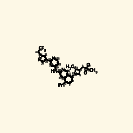 CC(C)c1ccc(N2C[C@H](CS(C)(=O)=O)[C@H]2C)c2cnc(Nc3ccnc(-c4cnn(CC(F)(F)F)c4)n3)cc12